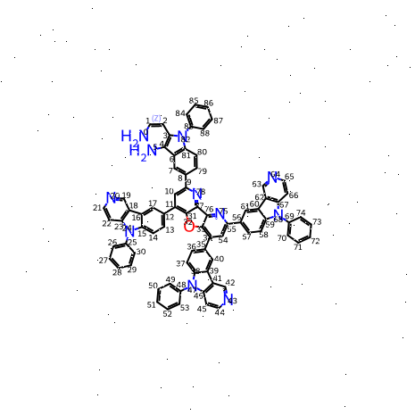 N/C=C\c1c(N)c2cc(-c3cc(-c4ccc5c(c4)c4cnccc4n5-c4ccccc4)c4oc5c(-c6ccc7c(c6)c6cnccc6n7-c6ccccc6)cc(-c6ccc7c(c6)c6cnccc6n7-c6ccccc6)nc5c4n3)ccc2n1-c1ccccc1